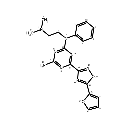 CN(C)CCN(c1ccccc1)c1nc(N)nc(-c2noc(-c3ccco3)n2)n1